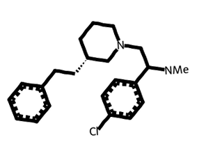 CNC(CN1CCC[C@@H](CCc2ccccc2)C1)c1ccc(Cl)cc1